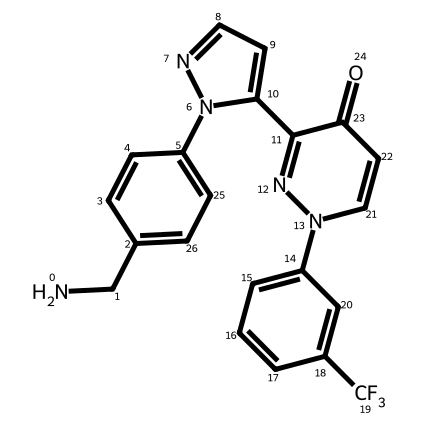 NCc1ccc(-n2nccc2-c2nn(-c3cccc(C(F)(F)F)c3)ccc2=O)cc1